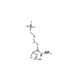 BC1=CC2=CC(C2)N1COCC[Si](C)(C)C